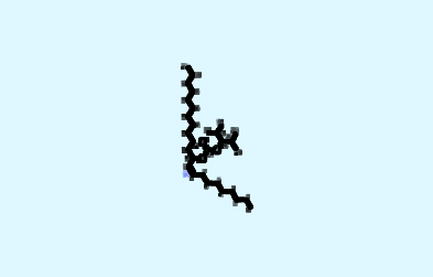 CCCCCCCC/C=C\C(CCCCCCCCCCC)OC(=O)OC(C(C)C)C(C)C